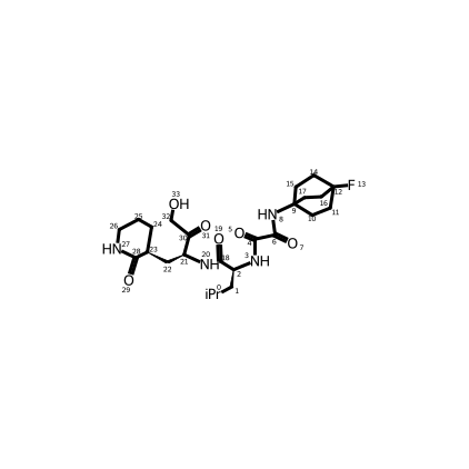 CC(C)C[C@H](NC(=O)C(=O)NC12CCC(F)(CC1)CC2)C(=O)N[C@@H](C[C@@H]1CCCNC1=O)C(=O)CO